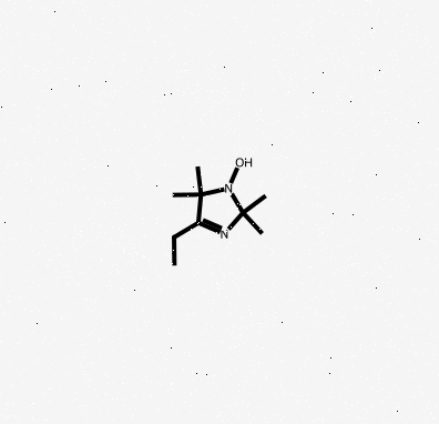 CCC1=NC(C)(C)N(O)C1(C)C